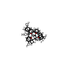 COc1ccc(C(O)(c2ccc(OC)cc2)[C@@H](Cc2ccccc2)N(C(=O)C2(C(N)=O)CCC2)[C@H](Cc2ccccc2)C(O)(c2ccc(OC)cc2)c2ccc(OC)cc2)cc1